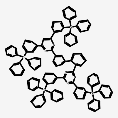 c1ccc([Si](c2ccccc2)(c2ccccc2)c2cccc(-c3cc(-c4cccc([Si](c5ccccc5)(c5ccccc5)c5ccccc5)c4)nc(-c4cccc(-c5ccccc5-c5nc(-c6cccc([Si](c7ccccc7)(c7ccccc7)c7ccccc7)c6)nc(-c6cccc([Si](c7ccccc7)(c7ccccc7)c7ccccc7)c6)n5)c4)n3)c2)cc1